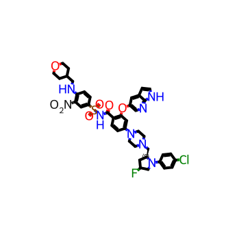 O=C(NS(=O)(=O)c1ccc(NCC2CCOCC2)c([N+](=O)[O-])c1)c1ccc(N2CCN(C[C@@H]3CC(F)CN3c3ccc(Cl)cc3)CC2)cc1Oc1cnc2[nH]ccc2c1